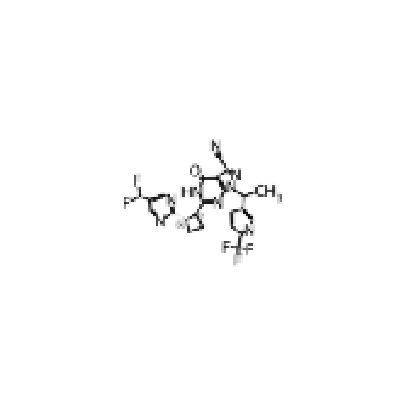 CC(c1ccc(C(F)(F)F)nc1)n1nc(C#N)c2c(=O)[nH]c([C@H]3CC[C@@H]3c3ncc(C(F)F)cn3)nc21